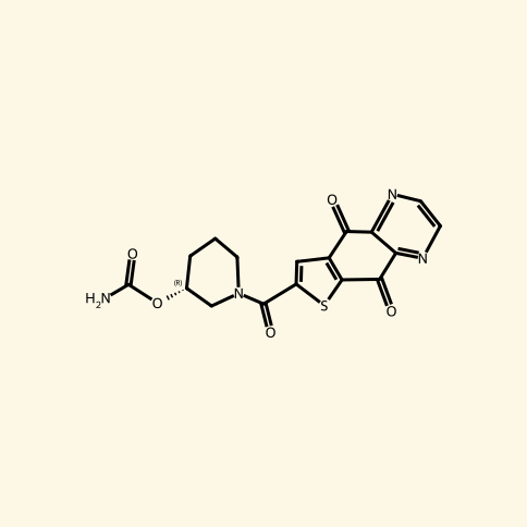 NC(=O)O[C@@H]1CCCN(C(=O)c2cc3c(s2)C(=O)c2nccnc2C3=O)C1